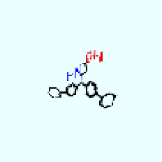 O[C@@H]1CN[C@@H](C(c2ccc(C3CCCCC3)cc2)c2ccc(C3CCCCC3)cc2)C1